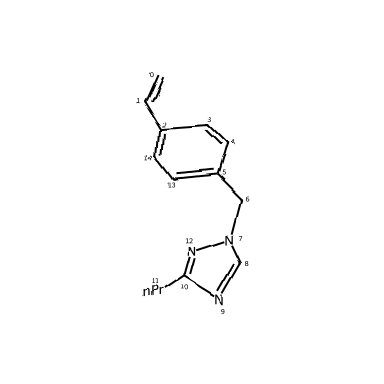 C=Cc1ccc(Cn2cnc(CCC)n2)cc1